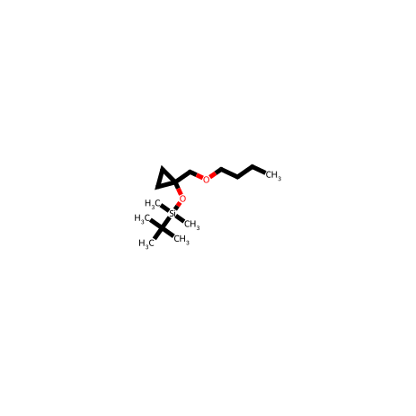 CCCCOCC1(O[Si](C)(C)C(C)(C)C)CC1